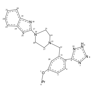 CC(C)Oc1ccc(-c2nn[nH]n2)c(CN2CCN(c3nc4ccccc4s3)CC2)c1